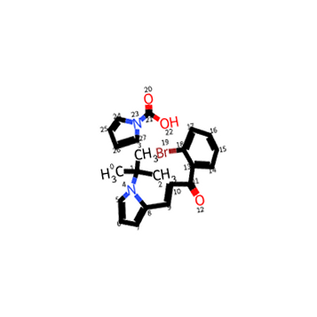 CC(C)(C)n1cccc1C=CC(=O)c1ccccc1Br.O=C(O)n1cccc1